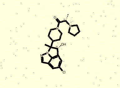 C[C@@H](C(=O)N1CCC(C2(C)[C@H](O)c3cc(Cl)cc4cnn2c34)CC1)N1CCCC1